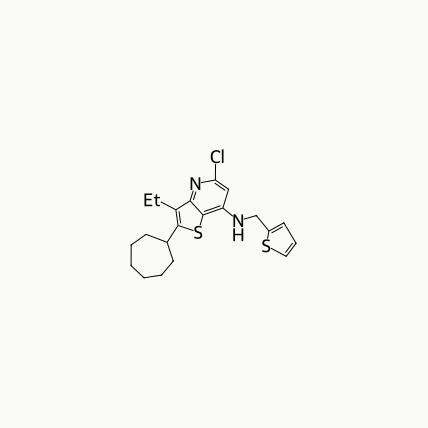 CCc1c(C2CCCCCC2)sc2c(NCc3cccs3)cc(Cl)nc12